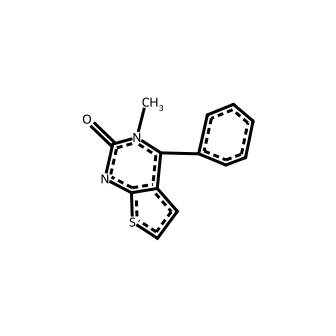 Cn1c(-c2ccccc2)c2ccsc2nc1=O